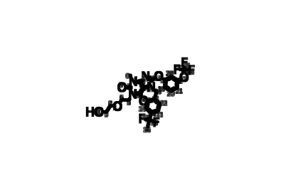 Cn1c(=O)n(CCOCCO)c(=O)c2c1nc(Oc1cccc(OC(F)(F)F)c1)n2Cc1ccc(C(C)(F)F)cc1